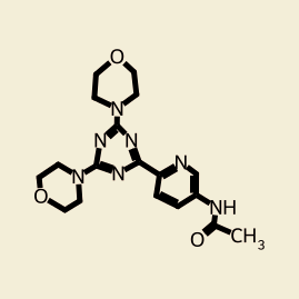 CC(=O)Nc1ccc(-c2nc(N3CCOCC3)nc(N3CCOCC3)n2)nc1